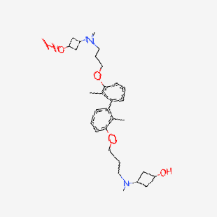 Cc1c(OCCCN(C)C2CC(O)C2)cccc1-c1cccc(OCCCN(C)C2CC(O)C2)c1C